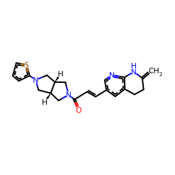 C=C1CCc2cc(/C=C/C(=O)N3C[C@@H]4CN(c5cccs5)C[C@@H]4C3)cnc2N1